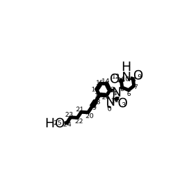 Cn1c(=O)n(C2CCC(=O)NC2=O)c2cccc(C#CCCCCCO)c21